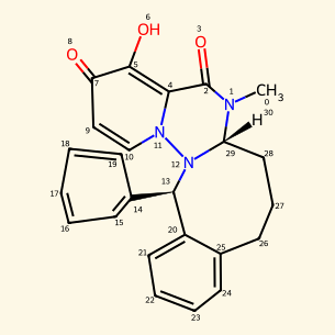 CN1C(=O)c2c(O)c(=O)ccn2N2[C@H](c3ccccc3)c3ccccc3CCC[C@@H]12